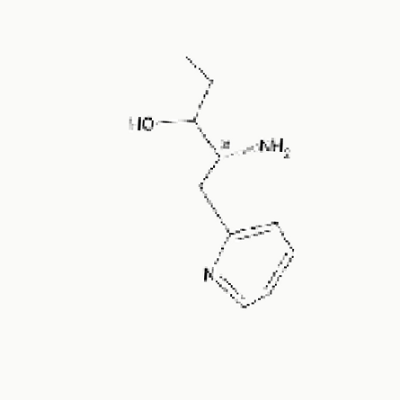 CCC(O)[C@H](N)Cc1ccccn1